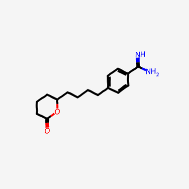 N=C(N)c1ccc(CCCCC2CCCC(=O)O2)cc1